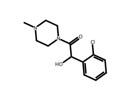 CN1CCN(C(=O)C(O)c2ccccc2Cl)CC1